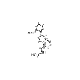 COc1ccccc1-c1ccc2c(c1)OCC[C@H]2CNC(=O)O